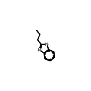 CCCC1=Nc2ccccc2[N]1